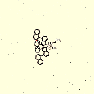 CCC[SiH](C)[Zr]([Cl])([Cl])([CH]1C(CC23CCC(CC2)C3)=Cc2c(-c3cccc4ccccc34)cccc21)[CH]1C(CC23CCC(CC2)C3)=Cc2c(-c3cccc4ccccc34)cccc21